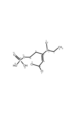 CC[S+]([O-])C(=CC(Cl)Cl)CCOP(=O)(O)O